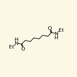 CCNC(=O)CCCCCCC(=O)NCC